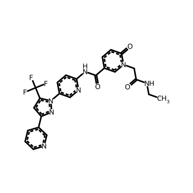 CCNC(=O)Cn1cc(C(=O)Nc2ccc(-n3nc(-c4cccnc4)cc3C(F)(F)F)cn2)ccc1=O